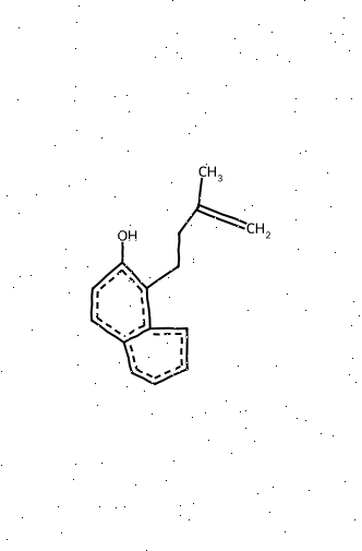 C=C(C)CCc1c(O)ccc2ccccc12